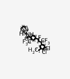 C=Cc1cc(C(/C=C(\F)c2ccc(C(=O)NNc3ncccn3)c(C(F)(F)F)c2)C(F)(F)F)cc(Cl)c1Cl